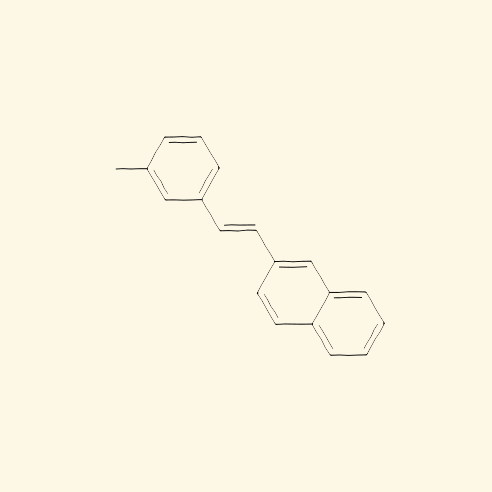 Fc1cccc(/C=C/c2ccc3ccccc3c2)c1